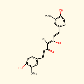 CC/C(C(=O)/C=C/c1ccc(O)c(OC)c1)=C(O)\C=C\c1ccc(O)c(OC)c1